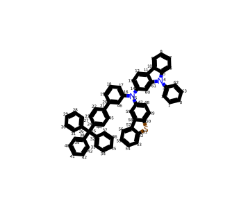 c1ccc(-n2c3ccccc3c3ccc(N(c4cccc(-c5ccc(C(c6ccccc6)(c6ccccc6)c6ccccc6)cc5)c4)c4ccc5sc6ccccc6c5c4)cc32)cc1